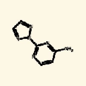 Nc1ccnc(-n2nccn2)n1